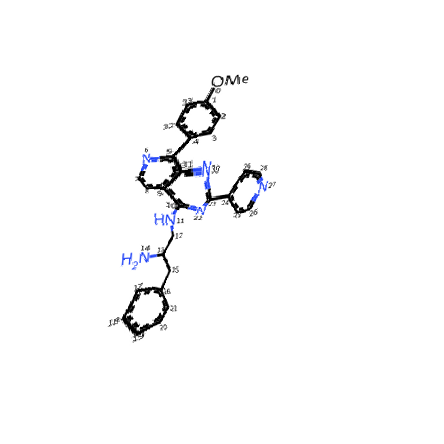 COc1ccc(-c2nccc3c(NCC(N)Cc4ccccc4)nc(-c4ccncc4)nc23)cc1